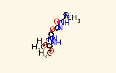 COc1cc(Nc2nc3cc(Oc4ccnc(C(=O)NCCC5CCCN5C)c4)ccc3n2C)cc(OC)c1